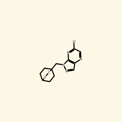 Clc1cnc2cnn(CC34CCC(CC3)OC4)c2n1